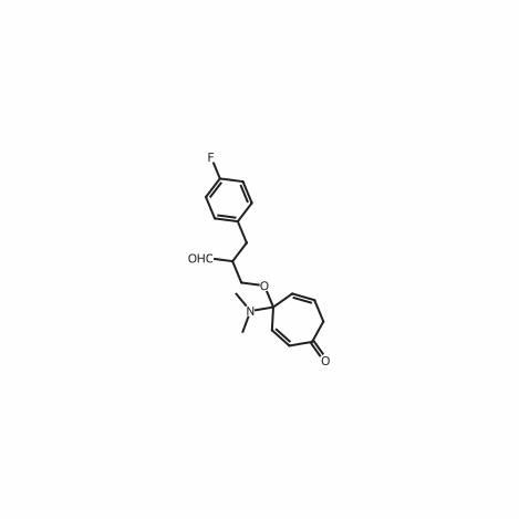 CN(C)C1(OCC(C=O)Cc2ccc(F)cc2)C=CCC(=O)C=C1